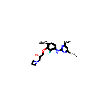 CNc1cc(C)nc(Nc2ccc(OC)c(OC[C@@H](O)CN3CCC3)c2F)n1